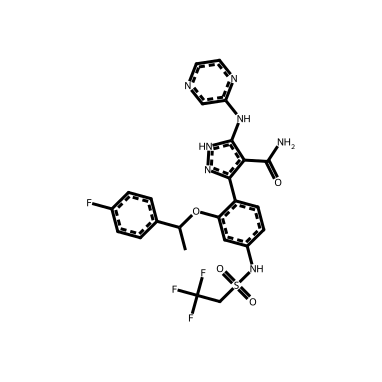 CC(Oc1cc(NS(=O)(=O)CC(F)(F)F)ccc1-c1n[nH]c(Nc2cnccn2)c1C(N)=O)c1ccc(F)cc1